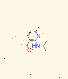 CC(=O)c1ccc(C)nc1NC(C)C